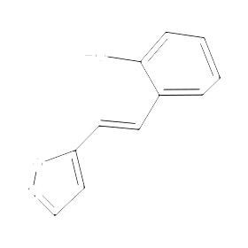 Oc1ccccc1C=Cc1ccno1